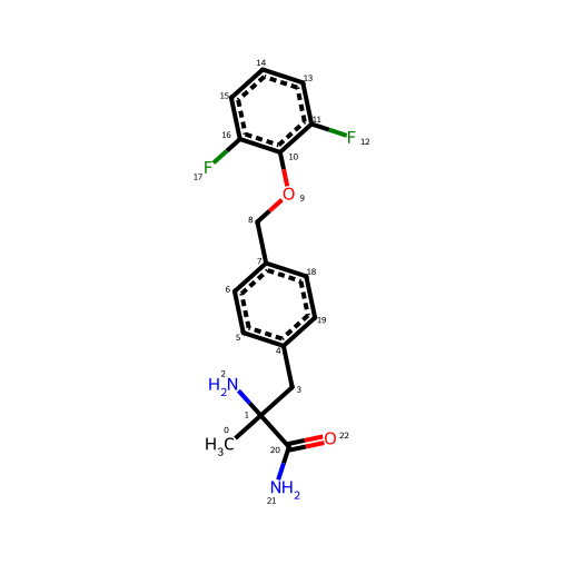 CC(N)(Cc1ccc(COc2c(F)cccc2F)cc1)C(N)=O